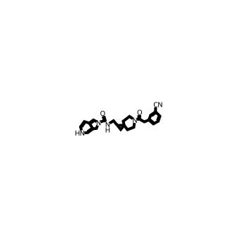 N#Cc1cccc(CC(=O)N2CCC3(CC2)CC3CNC(=O)N2C=C3C=CNC=C3C2)c1